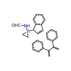 C=C(C(=C)c1ccccc1)c1ccccc1.O=C[NH][Ti]1([CH]2C=Cc3ccccc32)[CH2][CH2]1